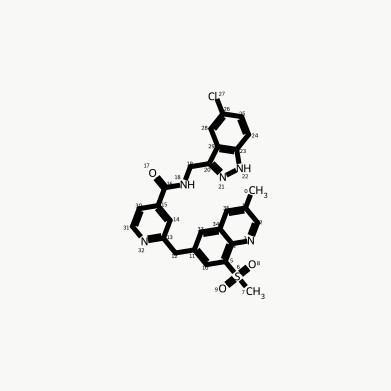 Cc1cnc2c(S(C)(=O)=O)cc(Cc3cc(C(=O)NCc4n[nH]c5ccc(Cl)cc45)ccn3)cc2c1